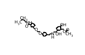 CC(=O)OCc1cc([C@@H](O)CNCCc2ccc(OCCOCc3cccc(C(=O)NCCC(C)C)c3)cc2)ccc1O